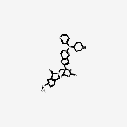 COc1ccc2c(c1)C(=O)N(C[C@@]1(c3cc4nc(N(c5cccnc5)C5CCNCC5)ccc4o3)NC(=O)NC1=O)C2